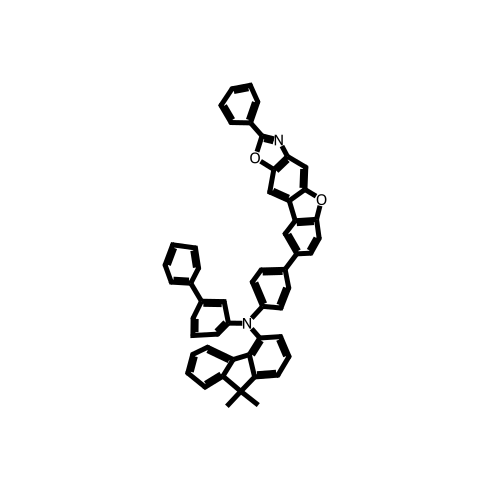 CC1(C)c2ccccc2-c2c(N(c3ccc(-c4ccc5oc6cc7nc(-c8ccccc8)oc7cc6c5c4)cc3)c3cccc(-c4ccccc4)c3)cccc21